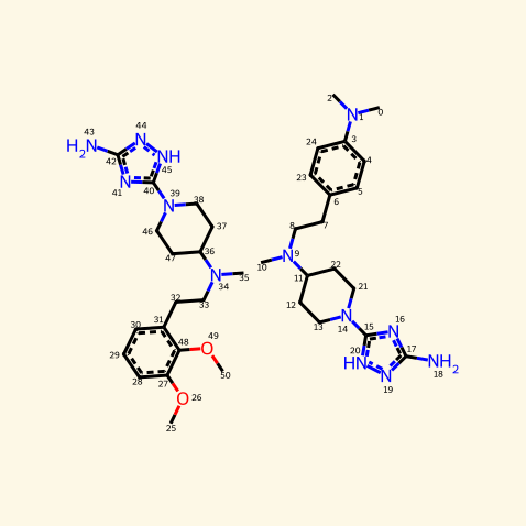 CN(C)c1ccc(CCN(C)C2CCN(c3nc(N)n[nH]3)CC2)cc1.COc1cccc(CCN(C)C2CCN(c3nc(N)n[nH]3)CC2)c1OC